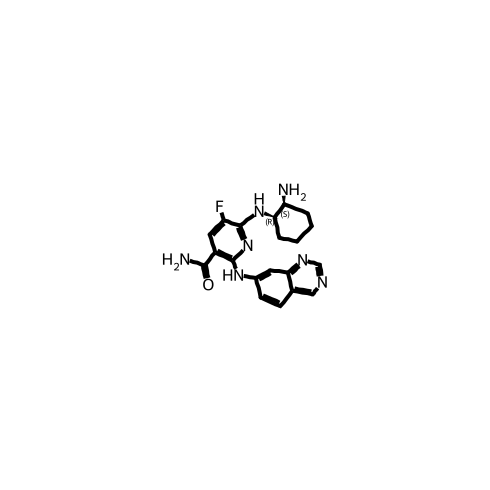 NC(=O)c1cc(F)c(N[C@@H]2CCCC[C@@H]2N)nc1Nc1ccc2cncnc2c1